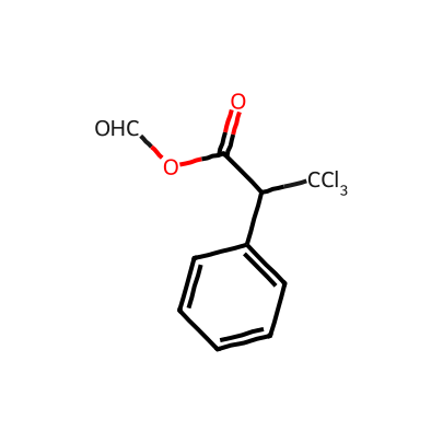 O=COC(=O)C(c1ccccc1)C(Cl)(Cl)Cl